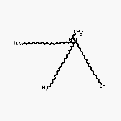 [CH2]CCc1nc(CCCCCCCCCCCCCCCCCCCCCC)c(CCCCCCCCCCCCCCCCCCCCCC)c(CCCCCCCCCCCCCCCCCCCCCC)n1